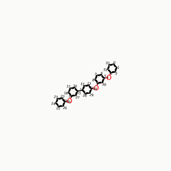 c1ccc(Oc2cccc(Oc3ccc(-c4cccc(Oc5ccccc5)c4)cc3)c2)cc1